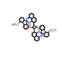 O=C1C(c2ccc3cccc4c3c2NC2(N4)c3ccccc3-c3c(C(=O)O)cccc32)=C(O)/C1=c1/ccc2cccc3c2c1NC1(N=3)c2ccccc2-c2c(C(=O)O)cccc21